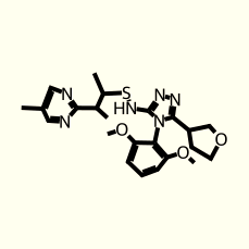 COc1cccc(OC)c1-n1c(NSC(C)C(C)c2ncc(C)cn2)nnc1C1CCOC1